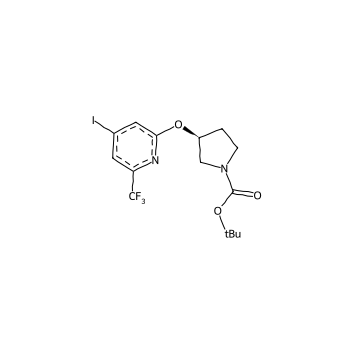 CC(C)(C)OC(=O)N1CC[C@H](Oc2cc(I)cc(C(F)(F)F)n2)C1